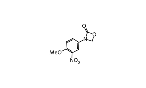 COc1ccc(N2COC2=O)cc1[N+](=O)[O-]